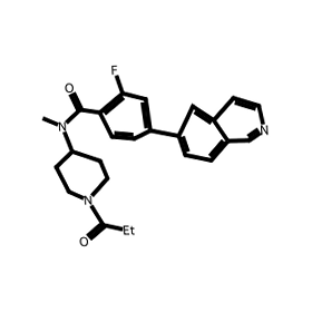 CCC(=O)N1CCC(N(C)C(=O)c2ccc(-c3ccc4cnccc4c3)cc2F)CC1